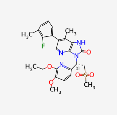 CCOc1nc([C@@H](CS(C)(=O)=O)n2c(=O)[nH]c3c(C)c(-c4cccc(C)c4F)cnc32)ccc1OC